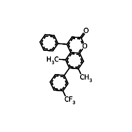 Cc1cc2oc(=O)cc(-c3ccccc3)c2c(C)c1-c1cccc(C(F)(F)F)c1